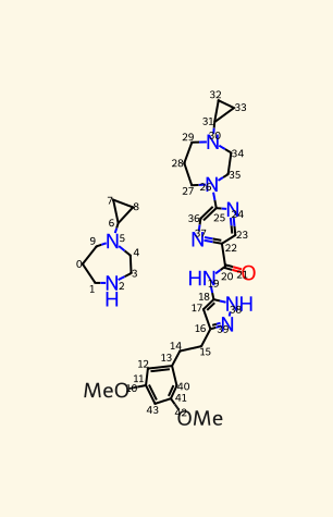 C1CNCCN(C2CC2)C1.COc1cc(CCc2cc(NC(=O)c3cnc(N4CCCN(C5CC5)CC4)cn3)[nH]n2)cc(OC)c1